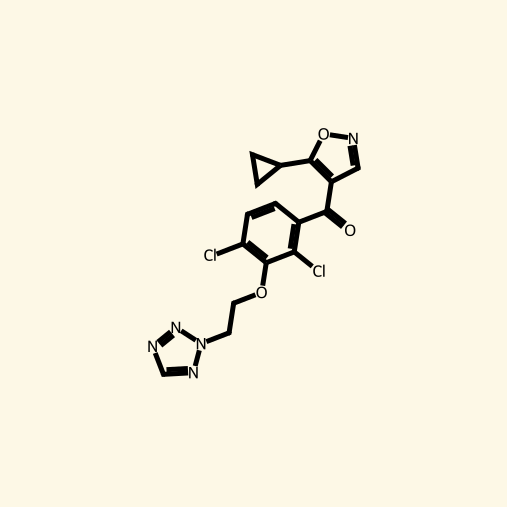 O=C(c1cnoc1C1CC1)c1ccc(Cl)c(OCCn2ncnn2)c1Cl